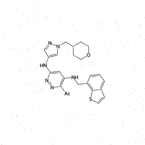 CC(=O)c1nnc(Nc2cnn(CC3CCOCC3)c2)cc1NCc1cccc2ccsc12